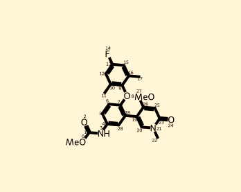 COC(=O)Nc1ccc(Oc2c(C)cc(F)cc2C)c(-c2cn(C)c(=O)cc2OC)c1